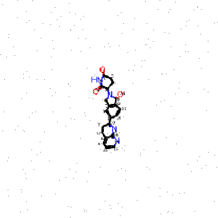 O=C1CCC(N2Cc3cc(-c4ccc5cccnc5n4)ccc3C2=O)C(=O)N1